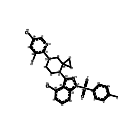 Cc1ccc(S(=O)(=O)n2nc(N3CCN(c4ncc(Cl)cc4F)CC34CC4)c3c(Cl)cccc32)cc1